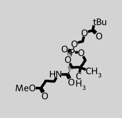 COC(=O)CCNC(=O)[C@@H]1O[P@](=O)(OCOC(=O)C(C)(C)C)OCC1(C)C